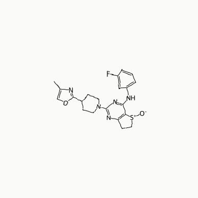 Cc1coc(C2CCN(c3nc4c(c(Nc5cccc(F)c5)n3)[S+]([O-])CC4)CC2)n1